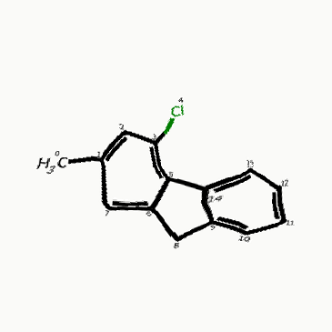 Cc1cc(Cl)c2c(c1)Cc1ccccc1-2